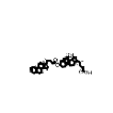 C[C@H](CCC(=O)O)[C@H]1CC[C@H]2[C@@H]3[C@H](O)CC4C[C@H](OC(=O)CC[C@@H](C)[C@H]5CCC6C7CCC8CCCC[C@]8(C)C7CC[C@@]65C)CC[C@]4(C)[C@H]3CC[C@]12C